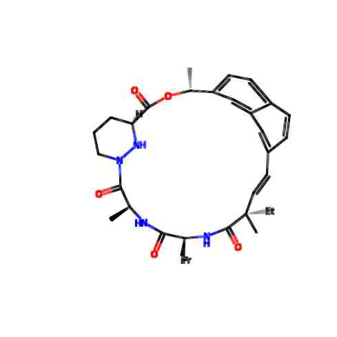 CC[C@@]1(C)/C=C/c2ccc3ccc(cc3c2)[C@@H](C)OC(=O)[C@@H]2CCCN(N2)C(=O)[C@H](C)NC(=O)[C@H](C(C)C)NC1=O